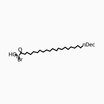 CCCCCCCCCCCCCCCCCCCCCCCCCCCCCC(=O)N(O)Br